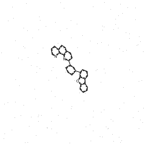 c1cc(-c2ccc3ccc4cccnc4c3n2)cc(-c2cccc3c2oc2ccccc23)c1